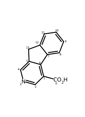 O=C(O)c1cncc2c1-c1ccccc1C2